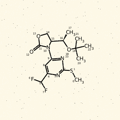 CSc1nc(C(F)F)cc(N2C(=O)OCC2[C@@H](C)OC(C)(C)C)n1